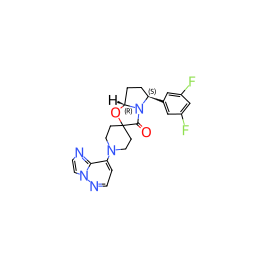 O=C1N2[C@@H](CC[C@H]2c2cc(F)cc(F)c2)OC12CCN(c1ccnn3ccnc13)CC2